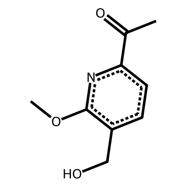 COc1nc(C(C)=O)ccc1CO